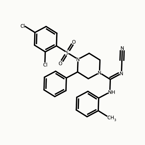 Cc1ccccc1N/C(=N/C#N)N1CCN(S(=O)(=O)c2ccc(Cl)cc2Cl)C(c2ccccc2)C1